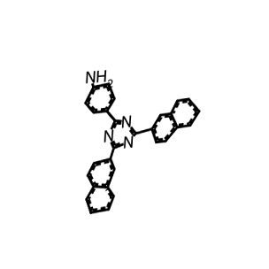 Nc1ccc(-c2nc(-c3ccc4ccccc4c3)nc(-c3ccc4ccccc4c3)n2)cc1